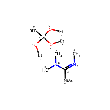 CCC[Si](OCC)(OCC)OCC.CN=C(NC)N(C)C